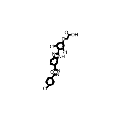 O=C(O)COc1cc(Cl)c(-c2nc3ccc(-c4nnc(-c5ccc(Cl)cc5)o4)cc3[nH]2)c(Cl)c1